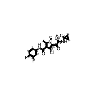 Cc1c(C(=O)Nc2ccc(F)c(F)c2)c(Cl)c(C(=O)C(=O)NC2(C(F)(F)F)CC2)n1C